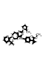 COC(=O)C1(c2ccc(Nc3nc(N4CCCC4C)nc4c3CCN(c3ncccc3C(F)(F)F)CC4)cc2)CC1